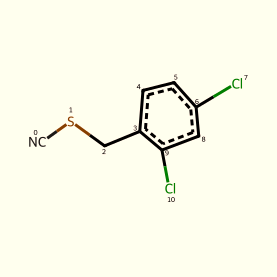 N#CSCc1ccc(Cl)cc1Cl